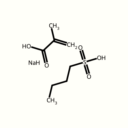 C=C(C)C(=O)O.CCCCS(=O)(=O)O.[NaH]